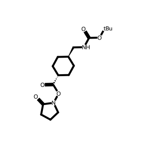 CC(C)(C)OC(=O)NC[C@H]1CC[C@H](C(=O)ON2CCCC2=O)CC1